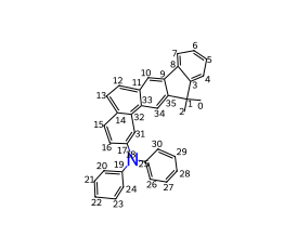 CC1(C)c2ccccc2-c2cc3ccc4ccc(N(c5ccccc5)c5ccccc5)cc4c3cc21